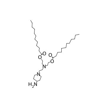 CCCCCCCCCCCC(=O)OCCN(CCOC(=O)CCCCCCCCCCC)CCN1CCC(N)CC1